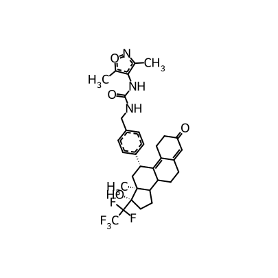 Cc1noc(C)c1NC(=O)NCc1ccc([C@H]2C[C@@]3(C)C(CC[C@@]3(O)C(F)(F)C(F)(F)F)C3CCC4=CC(=O)CCC4=C32)cc1